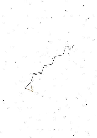 O=C(O)CCCC/C=C/C1CS1